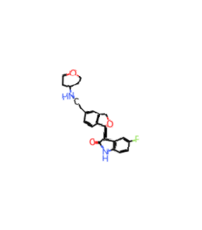 O=C1Nc2ccc(F)cc2C1=C1OCc2cc(CCNC3CCOCC3)ccc21